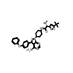 CN[C@H](C(=O)NC1CCC(n2nc(-c3ccc(Oc4ccccc4)cc3)c3c(N)ncnc32)CC1)c1cc(C(C)(C)C)on1